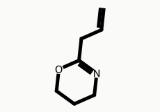 C=CCC1=NCCCO1